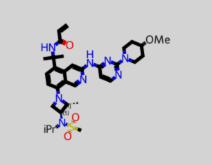 C=CC(=O)NC(C)(C)c1ccc(N2C[C@H](N(C(C)C)S(C)(=O)=O)[C@H]2C)c2cnc(Nc3ccnc(N4CCC(OC)CC4)n3)cc12